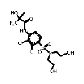 CC(O)(C(=O)Nc1ccc(S(=O)(=O)N(CCO)CCO)c(Cl)c1Cl)C(F)(F)F